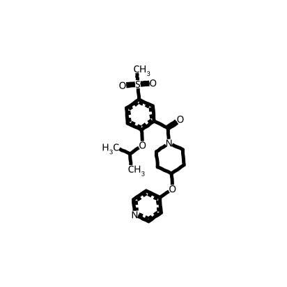 CC(C)Oc1ccc(S(C)(=O)=O)cc1C(=O)N1CCC(Oc2ccncc2)CC1